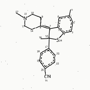 Cc1ccc2c(c1)C(=C1CCN(C)CC1)C(C)(c1ccc(C#N)cc1)S2